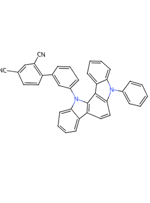 N#Cc1ccc(-c2cccc(-n3c4ccccc4c4ccc5c(c6ccccc6n5-c5ccccc5)c43)c2)c(C#N)c1